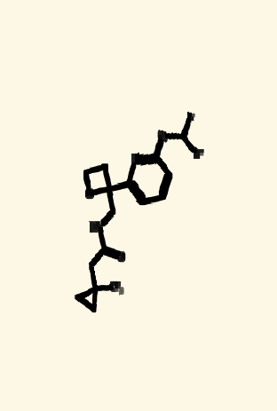 O=C(CC1(C(F)(F)F)CC1)NCC1(c2cccc(OC(F)F)n2)CCO1